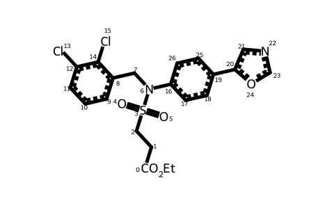 CCOC(=O)CCS(=O)(=O)N(Cc1cccc(Cl)c1Cl)c1ccc(-c2cnco2)cc1